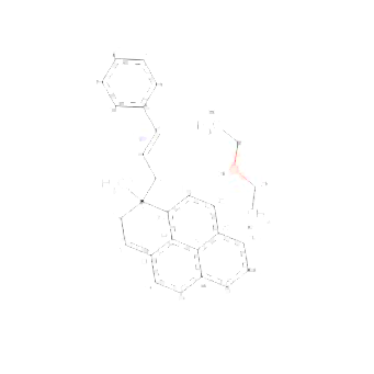 CC1(C/C=C/c2ccccc2)CC=c2ccc3cccc4ccc1c2c43.CCOCC